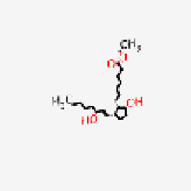 CCCCCC(O)C=C[C@H]1CC[C@@H](O)[C@H]1CCCCCCC(=O)OCC